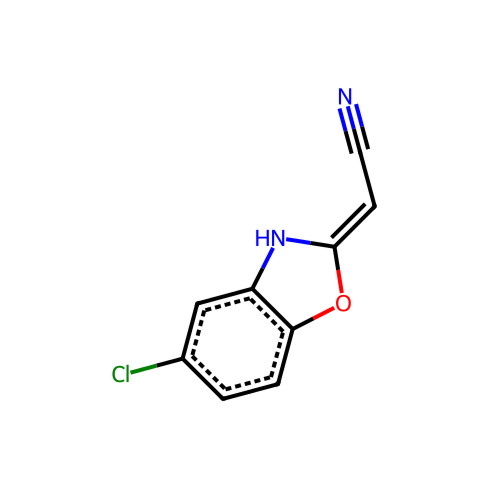 N#C/C=C1\Nc2cc(Cl)ccc2O1